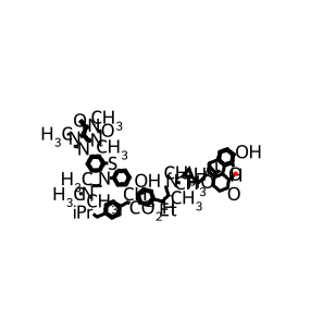 CC(C)Cc1ccc(C(C)C(=O)O)cc1.CC(CN1c2ccccc2Sc2ccccc21)N(C)C.CC[C@@H](c1cccc(O)c1)[C@@H](C)CN(C)C.Cn1c(=O)c2c(ncn2C)n(C)c1=O.O=C1CC[C@@]2(O)[C@H]3Cc4ccc(O)c5c4[C@@]2(CCN3CC2CC2)[C@H]1O5